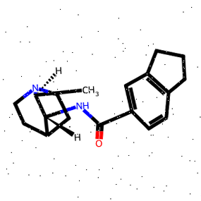 C[C@H]1[C@H](NC(=O)c2ccc3c(c2)CCC3)C2CCN1CC2